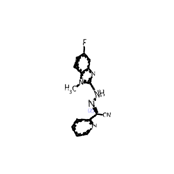 Cn1c(N/N=C(\C#N)c2ccccn2)nc2cc(F)ccc21